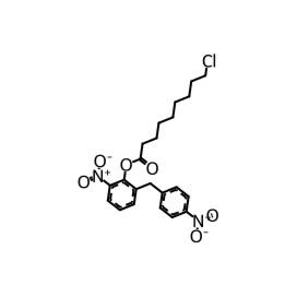 O=C(CCCCCCCCCl)Oc1c(Cc2ccc([N+](=O)[O-])cc2)cccc1[N+](=O)[O-]